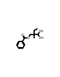 CCC(C)(COC(=O)c1ccccc1)C(O)O